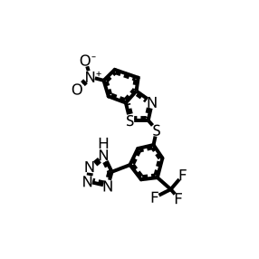 O=[N+]([O-])c1ccc2nc(Sc3cc(-c4nnn[nH]4)cc(C(F)(F)F)c3)sc2c1